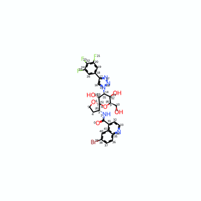 O=C(N[C@@H]1CCO[C@]12O[C@H](CO)[C@H](O)[C@H](n1cc(-c3cc(F)c(F)c(F)c3)nn1)[C@H]2O)c1ccnc2ccc(Br)cc12